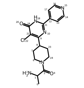 CC(N)C(=O)N1CCC(c2nc(-c3ccncc3)[nH]c(=O)c2Cl)CC1